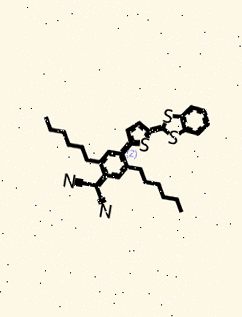 CCCCCCc1c/c(=c2\ccc(=C3Sc4ccccc4S3)s2)c(CCCCCC)cc1=C(C#N)C#N